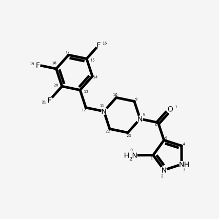 Nc1n[nH]cc1C(=O)N1CCN(Cc2cc(F)cc(F)c2F)CC1